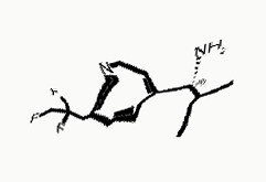 CC(C)[C@@H](N)c1ccc(C(F)(F)F)nc1